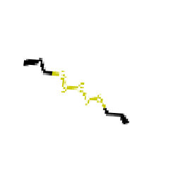 C=CCSSSSSCC=C